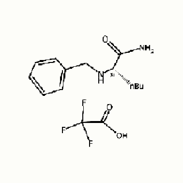 CCCC[C@H](NCc1ccccc1)C(N)=O.O=C(O)C(F)(F)F